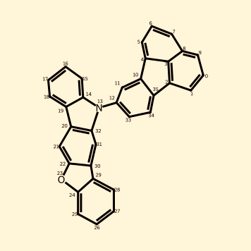 c1cc2c3c(cccc3c1)-c1cc(-n3c4ccccc4c4cc5oc6ccccc6c5cc43)ccc1-2